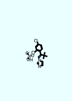 CC(C)(C)/C(=C\n1ccnc1)c1ccc(Cl)cc1Cl.O=[N+]([O-])O